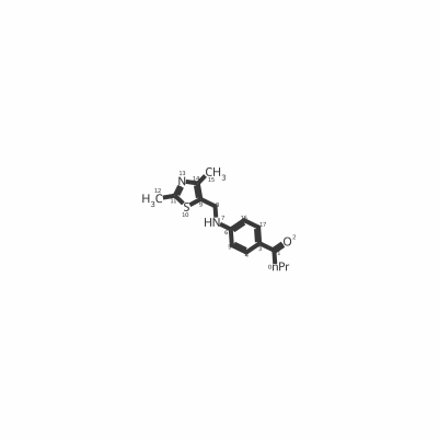 CCCC(=O)c1ccc(NCc2sc(C)nc2C)cc1